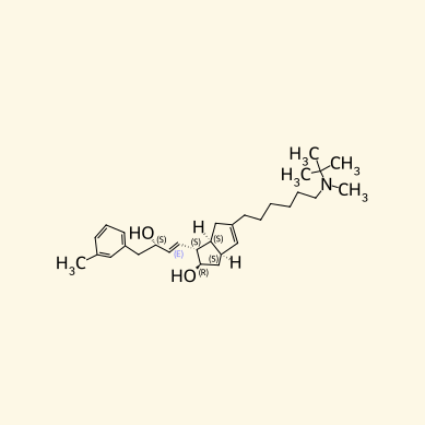 Cc1cccc(C[C@H](O)/C=C/[C@@H]2[C@H]3CC(CCCCCCN(C)C(C)(C)C)=C[C@H]3C[C@H]2O)c1